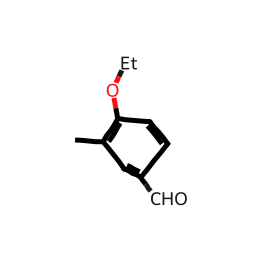 CCOc1ccc(C=O)cc1C